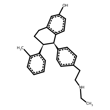 CCNCCc1ccc([C@@H]2c3ccc(O)cc3CC[C@@H]2c2ccccc2C)cc1